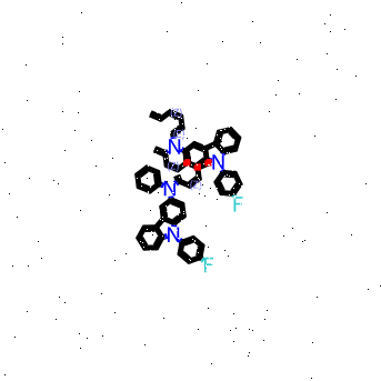 C=C/C=C\C=C\N(C(=C)/C=C\C(=C)C(=C)/C=C\C(=C)N(c1ccccc1)c1ccc2c(c1)c1ccccc1n2-c1ccc(F)cc1)c1ccc2c(c1)c1ccccc1n2-c1ccc(F)cc1